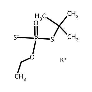 CCOP(=O)([S-])SC(C)(C)C.[K+]